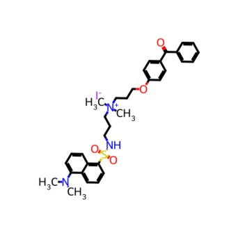 CN(C)c1cccc2c(S(=O)(=O)NCCC[N+](C)(C)CCCOc3ccc(C(=O)c4ccccc4)cc3)cccc12.[I-]